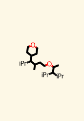 CC(C)C(C(C)CCOC(C)C(C(C)C)C(C)C)C1CCOCC1